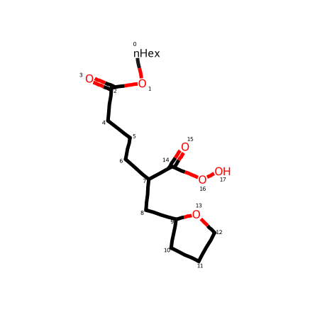 CCCCCCOC(=O)CCCC(CC1CCCO1)C(=O)OO